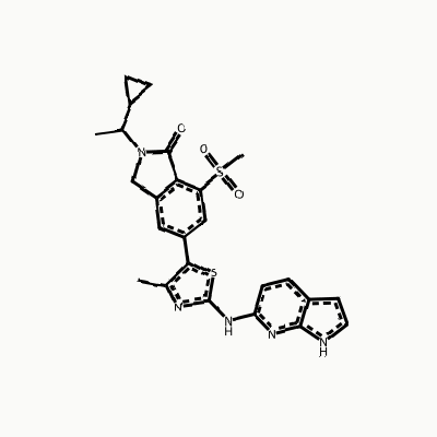 Cc1nc(Nc2ccc3cc[nH]c3n2)sc1-c1cc2c(c(S(C)(=O)=O)c1)C(=O)N(C(C)C1CC1)C2